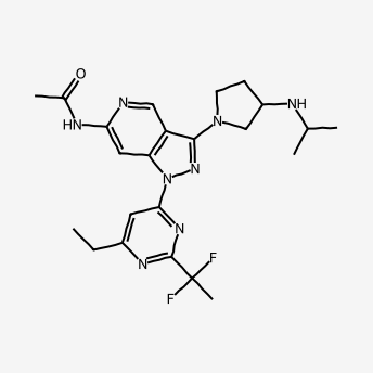 CCc1cc(-n2nc(N3CCC(NC(C)C)C3)c3cnc(NC(C)=O)cc32)nc(C(C)(F)F)n1